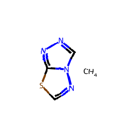 C.c1nn2cnnc2s1